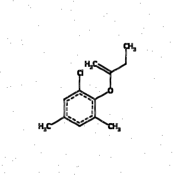 C=C(CC)Oc1c(C)cc(C)cc1Cl